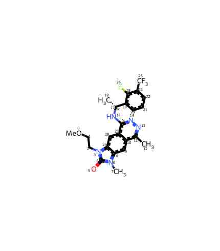 COCCn1c(=O)n(C)c2cc3c(C)nnc(N[C@H](C)c4cccc(C(F)(F)F)c4F)c3cc21